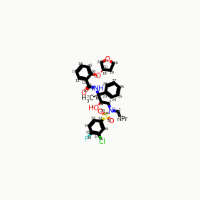 CC(C)CN(C[C@@H](O)[C@@](C)(NC(=O)c1ccccc1O[C@H]1CCOC1)c1ccccc1)S(=O)(=O)c1ccc(F)c(Cl)c1